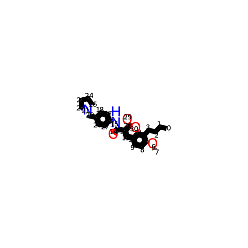 CCCCc1c(OC)ccc2cc(C(=O)Nc3ccc(CN4CCCC4)cc3)c(=O)oc12